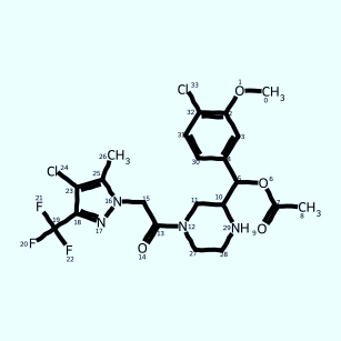 COc1cc(C(OC(C)=O)C2CN(C(=O)Cn3nc(C(F)(F)F)c(Cl)c3C)CCN2)ccc1Cl